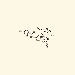 CN1/C(=N/C(=O)OC(C)(C)C)NC2(c3cc(NC(=O)c4ccc(F)cn4)ccc3F)CC(F)CC2S1(=O)=O